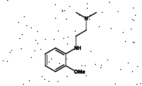 COc1ccccc1NCCN(C)C